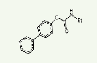 CCNC(=O)Oc1ccc(-c2ccccc2)cc1